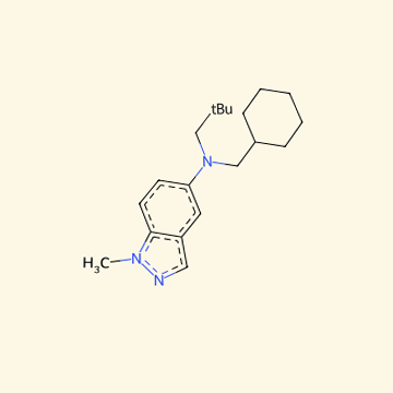 Cn1ncc2cc(N(CC3CCCCC3)CC(C)(C)C)ccc21